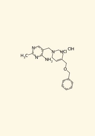 Cc1ncc(CN2CC=C(COCc3ccccc3)CC2)c(N)n1.Cl.Cl